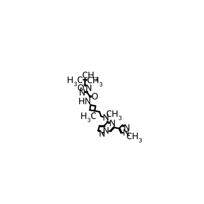 CN(CC[C@]1(C)C[C@H](NC(=O)c2noc(C(C)(C)C)n2)C1)c1nc(-c2cnn(C)c2)cn2nccc12